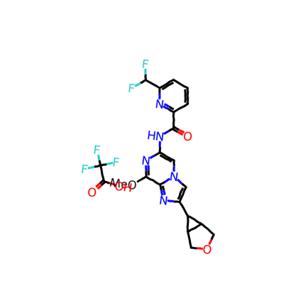 COc1nc(NC(=O)c2cccc(C(F)F)n2)cn2cc(C3C4COCC43)nc12.O=C(O)C(F)(F)F